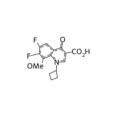 COc1c(F)c(F)cc2c(=O)c(C(=O)O)cn(C3CCC3)c12